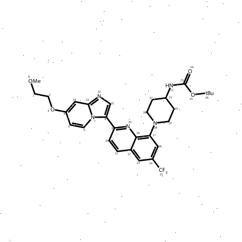 COCCOc1ccn2c(-c3ccc4cc(C(F)(F)F)cc(N5CCC(NC(=O)OC(C)(C)C)CC5)c4n3)cnc2c1